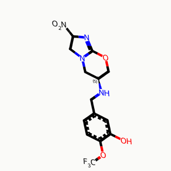 O=[N+]([O-])C1CN2C[C@H](NCc3ccc(OC(F)(F)F)c(O)c3)COC2=N1